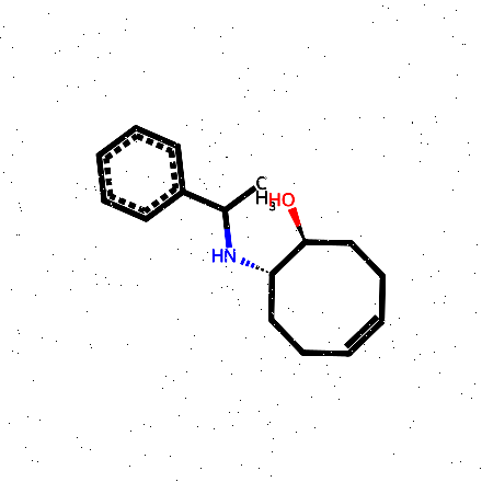 CC(N[C@H]1CC/C=C\CC[C@@H]1O)c1ccccc1